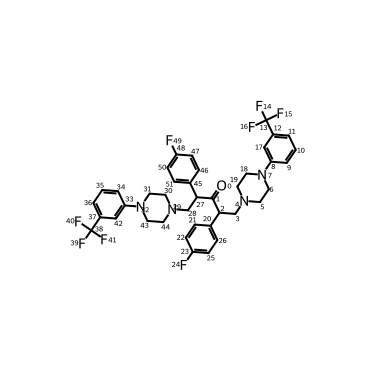 O=C(C(CN1CCN(c2cccc(C(F)(F)F)c2)CC1)c1ccc(F)cc1)C(CN1CCN(c2cccc(C(F)(F)F)c2)CC1)c1ccc(F)cc1